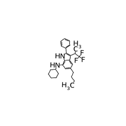 CCCCc1cc(NC2CCCCC2)c2[nH]c(-c3ccccc3)c(C(C)C(F)(F)F)c2c1